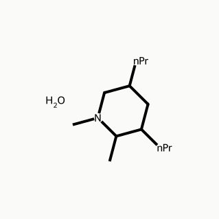 CCCC1CC(CCC)C(C)N(C)C1.O